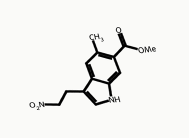 COC(=O)c1cc2[nH]cc(CC[N+](=O)[O-])c2cc1C